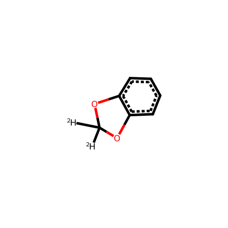 [2H]C1([2H])Oc2ccccc2O1